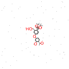 COc1cc(Oc2ccc(B3OC(C)(C)C(C)(C)O3)c(CO)c2)ccc1C(C)=O